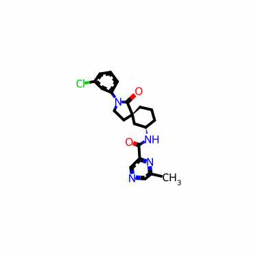 Cc1cncc(C(=O)N[C@H]2CCC[C@]3(CCN(c4cccc(Cl)c4)C3=O)C2)n1